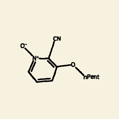 CCCCCOc1ccc[n+]([O-])c1C#N